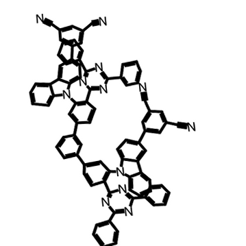 N#Cc1cc(C#N)cc(-c2ccc3c(c2)c2ccccc2n3-c2cc(-c3cccc(-c4ccc(-c5nc(-c6ccccc6)nc(-c6ccccc6)n5)c(-n5c6ccccc6c6cc(-c7cc(C#N)cc(C#N)c7)ccc65)c4)c3)ccc2-c2nc(-c3ccccc3)nc(-c3ccccc3)n2)c1